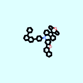 c1ccc(-c2cccc3ccc(-c4ccc(N(c5ccc6oc7c8ccccc8ccc7c6c5)c5cccc6c5-c5ccccc5C65c6ccccc6Oc6ccccc65)cc4)cc23)cc1